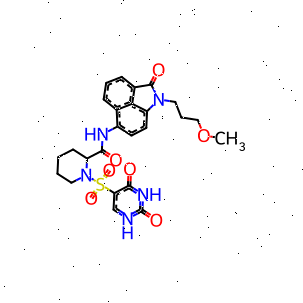 COCCCN1C(=O)c2cccc3c(NC(=O)C4CCCCN4S(=O)(=O)c4c[nH]c(=O)[nH]c4=O)ccc1c23